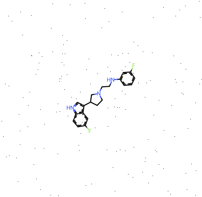 Fc1cccc(NCCN2CCC(c3c[nH]c4ccc(F)cc34)C2)c1